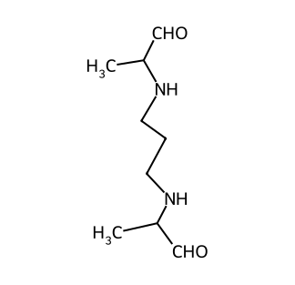 CC(C=O)NCCCNC(C)C=O